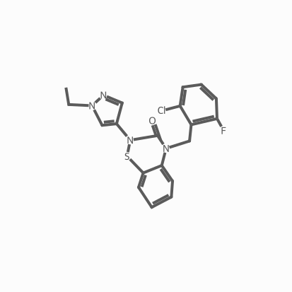 CCn1cc(N2Sc3ccccc3N(Cc3c(F)cccc3Cl)C2=O)cn1